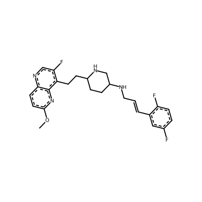 COc1ccc2ncc(F)c(CCC3CCC(NCC=Cc4cc(F)ccc4F)CN3)c2n1